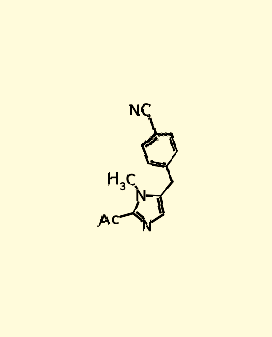 CC(=O)c1ncc(Cc2ccc(C#N)cc2)n1C